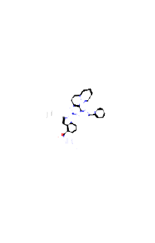 Cc1cc2c(C(N)=O)cccc2n1-c1nc2c(c(NCc3ccccc3)n1)N1CCCCC1CC2